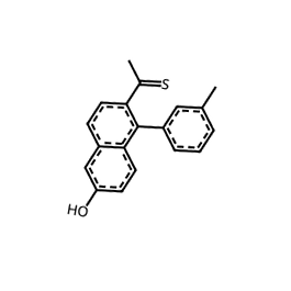 CC(=S)c1ccc2cc(O)ccc2c1-c1cccc(C)c1